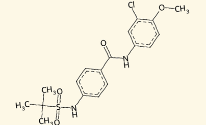 COc1ccc(NC(=O)c2ccc(NS(=O)(=O)C(C)(C)C)cc2)cc1Cl